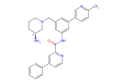 N[C@H]1CCCN(Cc2cc(NC(=O)c3cc(-c4ccccc4)ccn3)cc(-c3ccc(C(F)(F)F)nc3)c2)C1